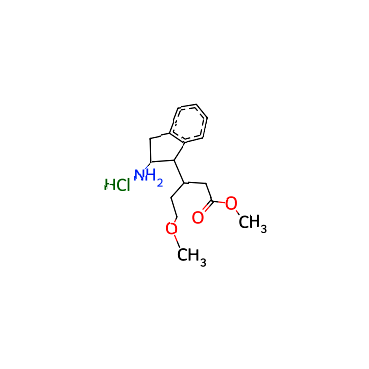 COCCC(CC(=O)OC)C1c2ccccc2CC1N.Cl